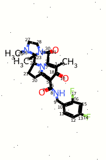 Cc1c2n3c(c(C(=O)NCc4ccc(F)cc4F)c1=O)CCC3C1(C)N(C)CCN1C2=O